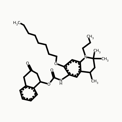 CCCCCCCCOc1cc2c(cc1NC(=O)OC1CC(=O)Cc3ccccc31)C(C)CC(C)(C)N2CCC